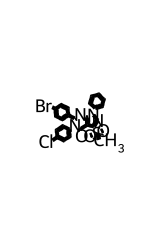 CS(=O)(=O)c1nn(-c2ccccc2)c2nc(-c3ccc(Br)cc3)n(-c3ccc(Cl)cc3)c(=O)c12